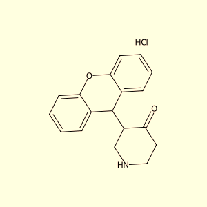 Cl.O=C1CCNCC1C1c2ccccc2Oc2ccccc21